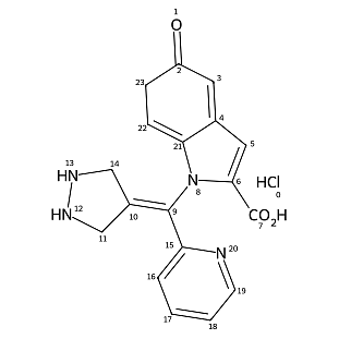 Cl.O=C1C=c2cc(C(=O)O)n(C(=C3CNNC3)c3ccccn3)c2=CC1